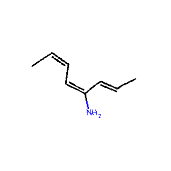 C\C=C/C=C(N)\C=C\C